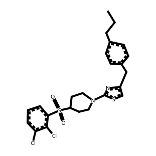 CCCc1ccc(Cc2csc(N3CCC(S(=O)(=O)c4cccc(Cl)c4Cl)CC3)n2)cc1